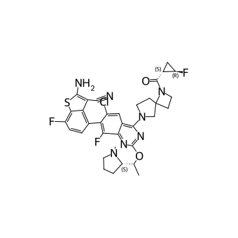 CC(Oc1nc(N2CCC3(CCN3C(=O)[C@@H]3C[C@H]3F)C2)c2cc(Cl)c(-c3ccc(F)c4sc(N)c(C#N)c34)c(F)c2n1)[C@@H]1CCCN1C